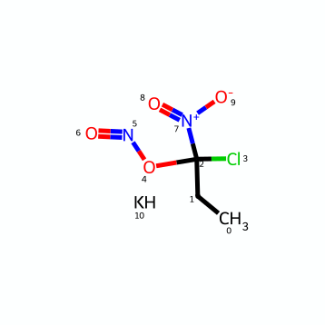 CCC(Cl)(ON=O)[N+](=O)[O-].[KH]